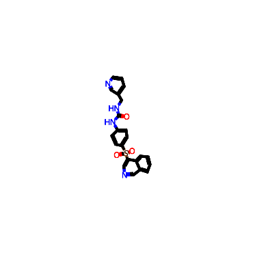 O=C(NCc1cccnc1)Nc1ccc(S(=O)(=O)c2cncc3ccccc23)cc1